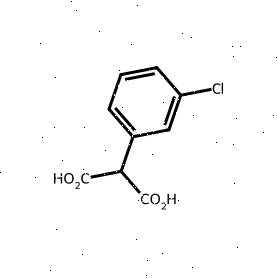 O=C(O)C(C(=O)O)c1cccc(Cl)c1